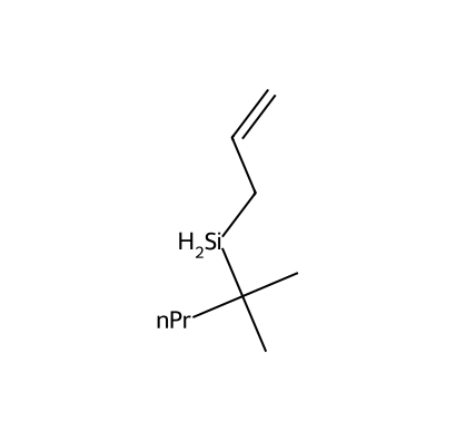 C=CC[SiH2]C(C)(C)CCC